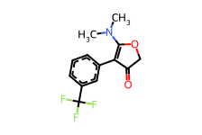 CN(C)C1=C(c2cccc(C(F)(F)F)c2)C(=O)CO1